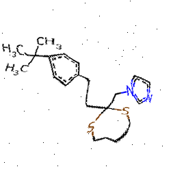 CC(C)(C)c1ccc(CCC2(Cn3ccnc3)SCCCS2)cc1